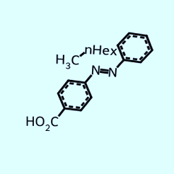 CCCCCCC.O=C(O)c1ccc(N=Nc2ccccc2)cc1